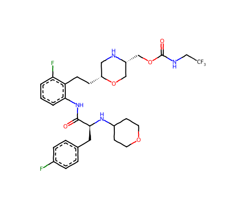 O=C(NCC(F)(F)F)OC[C@@H]1CO[C@H](CCc2c(F)cccc2NC(=O)[C@H](Cc2ccc(F)cc2)NC2CCOCC2)CN1